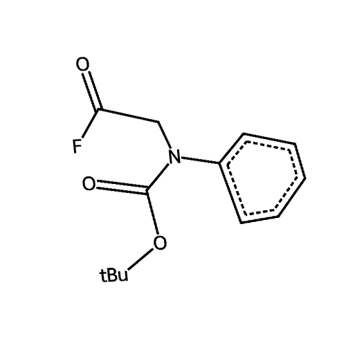 CC(C)(C)OC(=O)N(CC(=O)F)c1ccccc1